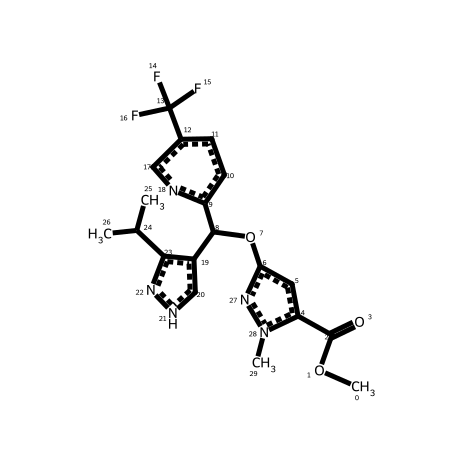 COC(=O)c1cc(OC(c2ccc(C(F)(F)F)cn2)c2c[nH]nc2C(C)C)nn1C